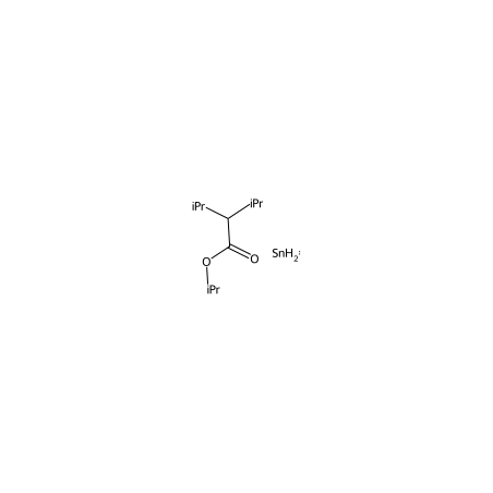 CC(C)OC(=O)C(C(C)C)C(C)C.[SnH2]